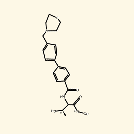 C[C@@H](O)C(NC(=O)c1ccc(-c2ccc(CN3CCOCC3)cc2)cc1)C(=O)NO